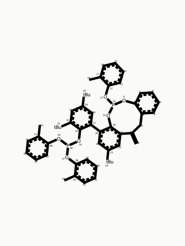 C=C1Cc2ccccc2OP(Oc2ccccc2C)Oc2c1cc(C(C)(C)C)cc2-c1cc(C(C)(C)C)cc(C(C)(C)C)c1OP(Oc1ccccc1C)Oc1ccccc1C